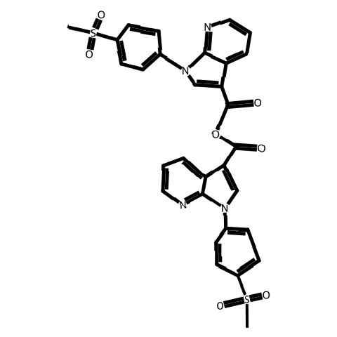 CS(=O)(=O)c1ccc(-n2cc(C(=O)OC(=O)c3cn(-c4ccc(S(C)(=O)=O)cc4)c4ncccc34)c3cccnc32)cc1